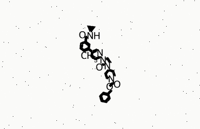 Cc1ccc(C(=O)NC2CC2)cc1-c1ccc(N2CCN(C3CCN(C(=O)OCc4ccccc4)CC3)C2=O)nc1